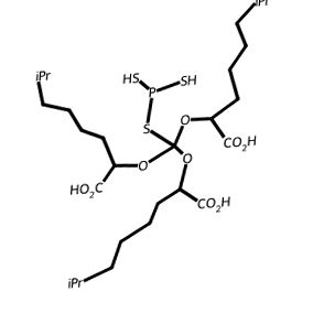 CC(C)CCCCC(OC(OC(CCCCC(C)C)C(=O)O)(OC(CCCCC(C)C)C(=O)O)SP(S)S)C(=O)O